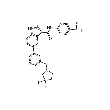 O=C(Nc1ccc(C(F)(F)F)cc1)c1n[nH]c2ccc(-c3cncc(CN4CCC(F)(F)C4)c3)cc12